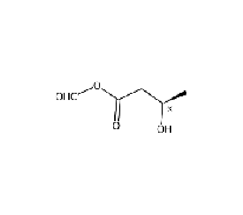 C[C@@H](O)CC(=O)OC=O